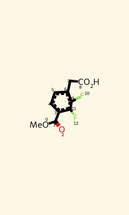 COC(=O)c1ccc(CC(=O)O)c(F)c1F